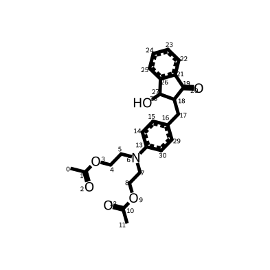 CC(=O)OCCN(CCOC(C)=O)c1ccc(CC2C(=O)c3ccccc3C2O)cc1